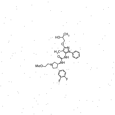 COCCN1C[C@@H](NC(=O)Nc2c(C)c(OC[C@H](C)O)nn2-c2ccccc2)[C@H](c2ccc(F)c(F)c2)C1